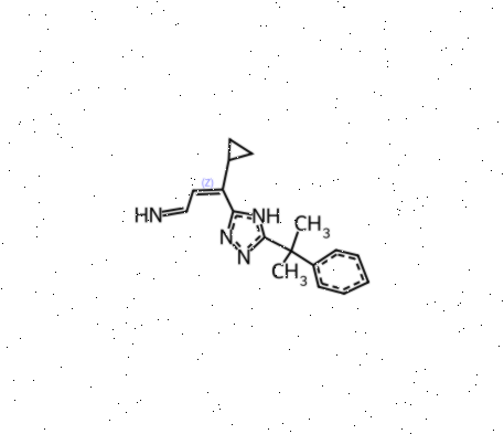 CC(C)(c1ccccc1)c1nnc(/C(=C\C=N)C2CC2)[nH]1